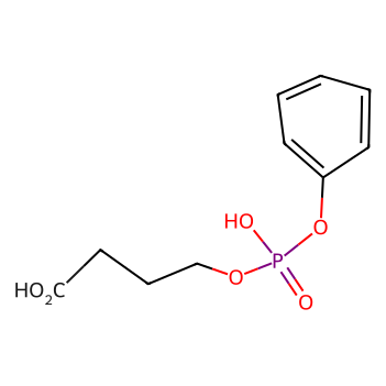 O=C(O)CCCOP(=O)(O)Oc1ccccc1